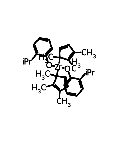 CC1=C(C)[C](C)([Zr]([O]c2ccccc2C(C)C)([O]c2ccccc2C(C)C)[C]2(C)C=CC(C)=C2C)C=C1